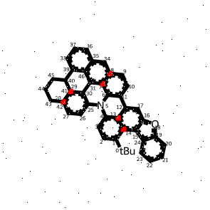 CC(C)(C)c1ccc(N(c2ccccc2-c2ccc3c(c2)oc2ccccc23)c2ccccc2-c2cccc3cccc(C4CCCCC4)c23)cc1